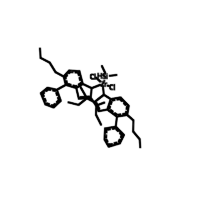 CCCCc1ccc2c(c1-c1ccccc1)C=C(C(C)CC)[CH]2[Zr]([Cl])([Cl])([CH]1C(C(C)CC)=Cc2c1ccc(CCCC)c2-c1ccccc1)[SiH](C)C